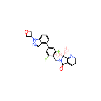 BC1(B)c2ncccc2C(=O)N1Cc1c(F)cc(-c2cccc3c2cnn3C2COC2)cc1F